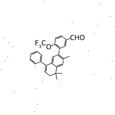 Cc1cc2c(cc1-c1cc(C=O)ccc1OC(F)(F)F)C(c1ccccc1)=CCC2(C)C